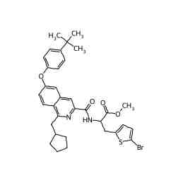 COC(=O)C(Cc1ccc(Br)s1)NC(=O)c1cc2cc(Oc3ccc(C(C)(C)C)cc3)ccc2c(CC2CCCC2)n1